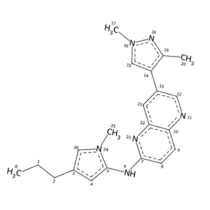 CCCc1cc(Nc2ccc3ncc(-c4cn(C)nc4C)cc3n2)n(C)c1